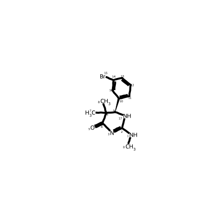 CNC1=NC(=O)C(C)(C)[C@@H](c2cccc(Br)c2)N1